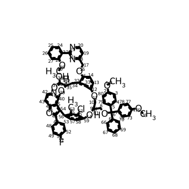 COc1ccc(C(OC[C@@H]2COc3ccc(OCc4ccnc(-c5ccccc5OC)n4)c(c3)C[C@H](C(=O)O)Oc3nccc4oc(-c5ccc(F)cc5)c(c34)-c3ccc(c(Cl)c3C)O2)(c2ccccc2)c2ccc(OC)cc2)cc1